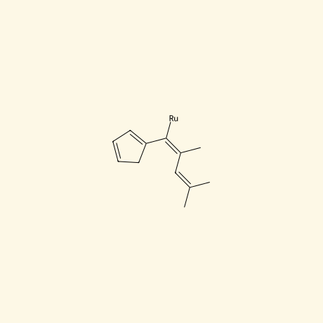 CC(C)=CC(C)=[C]([Ru])C1=CC=CC1